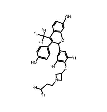 [2H]c1cc(C2Oc3cc(O)ccc3C(C([2H])([2H])[2H])=C2c2ccc(O)cc2)cc([2H])c1SC1CN(CCC([2H])[2H])C1